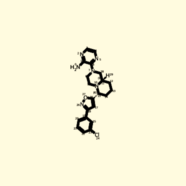 Nc1nccnc1N1CCN2[C@@H](CCC[C@@H]2c2cc(-c3cccc(Cl)c3)no2)C1